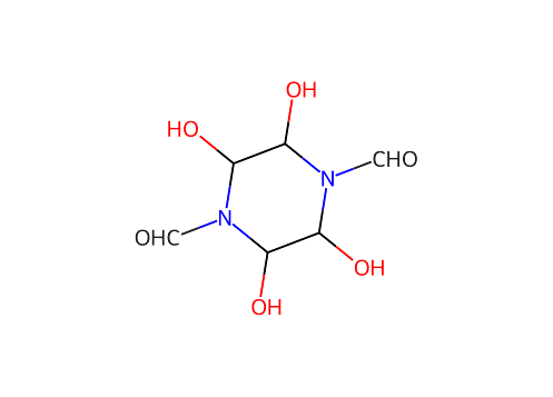 O=CN1C(O)C(O)N(C=O)C(O)C1O